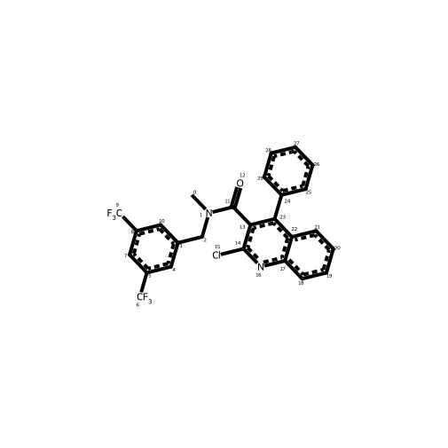 CN(Cc1cc(C(F)(F)F)cc(C(F)(F)F)c1)C(=O)c1c(Cl)nc2ccccc2c1-c1ccccc1